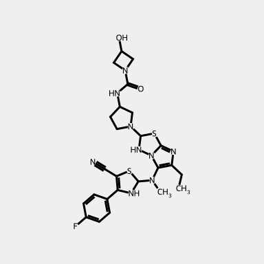 CCc1nc2n(c1N(C)C1NC(c3ccc(F)cc3)=C(C#N)S1)NC(N1CCC(NC(=O)N3CC(O)C3)C1)S2